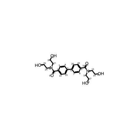 O=C(c1ccc(-c2ccc(C(=O)N(CCO)CCO)cc2)cc1)N(CCO)CCO